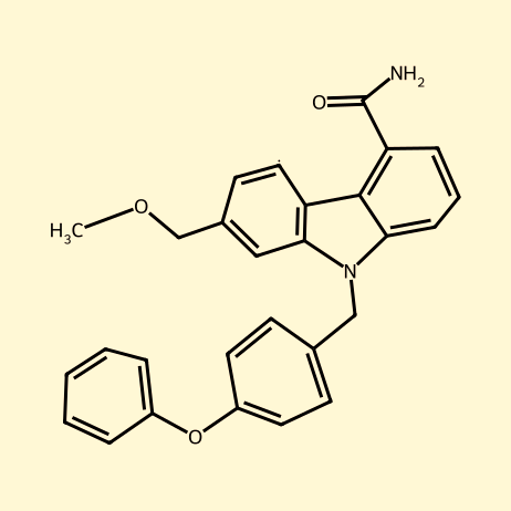 COCc1c[c]c2c3c(C(N)=O)cccc3n(Cc3ccc(Oc4ccccc4)cc3)c2c1